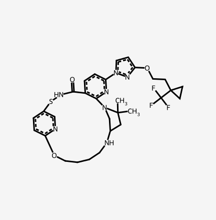 CC1(C)CC2CN1c1nc(-n3ccc(OCCC4(C(F)(F)F)CC4)n3)ccc1C(=O)NSc1ccc(nc1)OCCCCN2